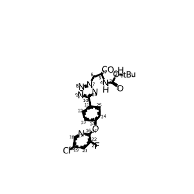 CC(C)(C)OC(=O)NC(Cn1nnc(-c2ccc(Oc3ncc(Cl)cc3F)cc2)n1)C(=O)O